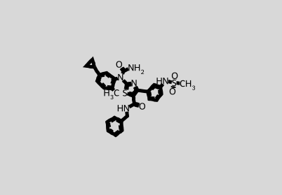 Cc1ccc(C2CC2)cc1N(C(N)=O)c1nc(-c2cccc(NS(C)(=O)=O)c2)c(C(=O)NCc2ccccc2)s1